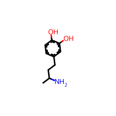 CC(N)CCc1ccc(O)c(O)c1